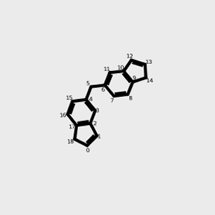 C1=Cc2cc(Cc3ccc4c(c3)C=CC4)ccc2C1